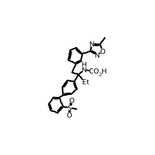 CCC(Cc1cccc(-c2noc(C)n2)c1)(NC(=O)O)c1ccc(-c2ccccc2S(C)(=O)=O)cc1